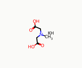 CN(CC(=O)O)CC(=O)O.[KH]